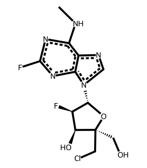 CNc1nc(F)nc2c1ncn2[C@@H]1O[C@@](CO)(CCl)[C@@H](O)[C@H]1F